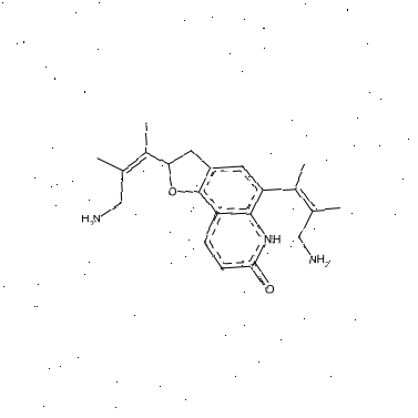 CC(CN)=C(C)c1cc2c(c3ccc(=O)[nH]c13)OC(C(C)=C(C)CN)C2